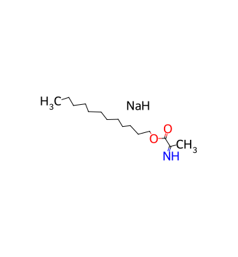 CCCCCCCCCCCCOC(=O)C(C)=N.[NaH]